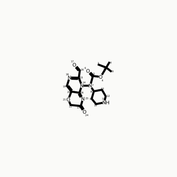 CC(C)(C)OC(=O)N(C1CCNCC1)N1C(C=O)=NC=C2OCC(=O)N=C21